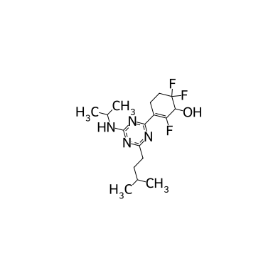 CC(C)CCc1nc(NC(C)C)nc(C2=C(F)C(O)C(F)(F)CC2)n1